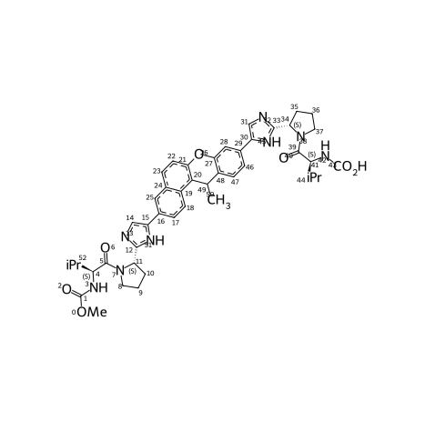 COC(=O)N[C@H](C(=O)N1CCC[C@H]1c1ncc(-c2ccc3c4c(ccc3c2)Oc2cc(-c3cnc([C@@H]5CCCN5C(=O)[C@@H](NC(=O)O)C(C)C)[nH]3)ccc2C4C)[nH]1)C(C)C